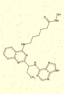 CCC(Nc1ncnc2[nH]cnc12)c1nc(NCCCCCC(=O)NO)c2ccccc2n1